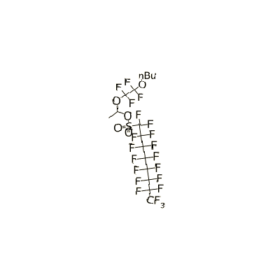 CCCCOC(F)(F)C(F)(F)OC(C)OS(=O)(=O)C(F)(F)C(F)(F)C(F)(F)C(F)(F)C(F)(F)C(F)(F)C(F)(F)C(F)(F)F